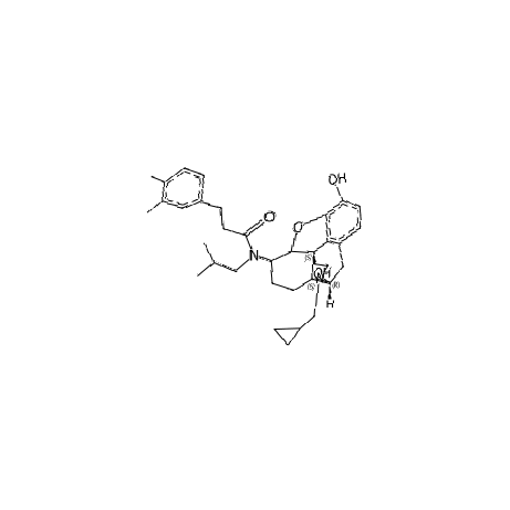 Cc1ccc(CCC(=O)N(CC(C)C)C2CC[C@@]3(O)[C@H]4Cc5ccc(O)c6c5[C@@]3(CCN4CC3CC3)C2O6)cc1C